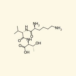 CC(C)[C@H](NC(=O)[C@@H](N)CCCCN)C(=O)N[C@H](C(=O)O)[C@@H](C)O